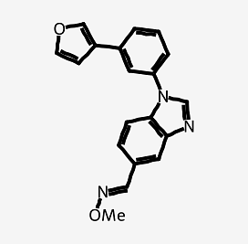 CON=Cc1ccc2c(c1)ncn2-c1cccc(-c2ccoc2)c1